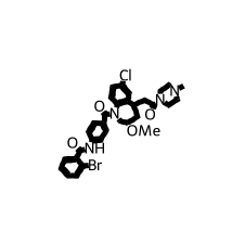 COC1CC(CC(=O)N2CCN(C)CC2)c2cc(Cl)ccc2N(C(=O)c2ccc(NC(=O)c3ccccc3Br)cc2)C1